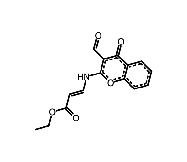 CCOC(=O)C=CNc1oc2ccccc2c(=O)c1C=O